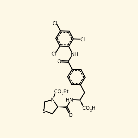 CCOC(=O)N1CSC[C@@H]1C(=O)N[C@@H](Cc1ccc(C(=O)Nc2c(Cl)cc(Cl)cc2Cl)cc1)C(=O)O